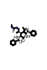 C=C(/C=C\C(F)=C/C)[C@H]1c2c(C)nn(-c3ccccc3)c2NC(=O)[C@@H]1NC(=O)c1ccccc1